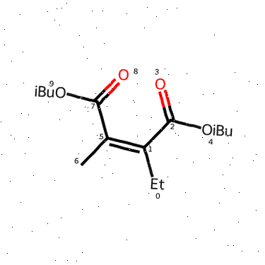 CC/C(C(=O)OCC(C)C)=C(\C)C(=O)OCC(C)C